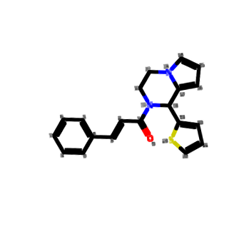 O=C(C=Cc1ccccc1)N1CCn2cccc2C1c1cccs1